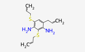 C=CCSc1cc(CC=C)c(N)c(SCC=C)c1N